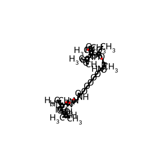 CCCOc1cc(OCCCCN(C)CC(=O)NCCOCCOCCOCCOCCOCCC(=O)NCCN2CCN(c3ccc(-c4cc(NC(C)C)c(C=N)c(C(=O)NCc5c(C)cc(C)[nH]c5=O)c4)cn3)CC2)cc(Oc2cc3c(cc2Nc2ccc(OC)c(OC)c2)n(C)c(=O)n3C)c1